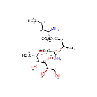 CC(O)CC(=O)O.NCC(=O)O.N[C@@H](CCC(=O)O)C(=O)O.O=C(O)[C@H](O)[C@@H](O)[C@H](O)[C@H](O)CO